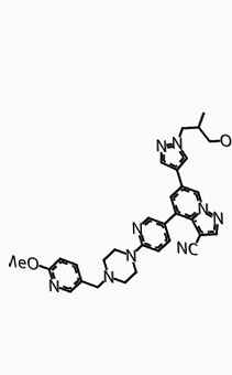 COc1ccc(CN2CCN(c3ccc(-c4cc(-c5cnn(CC(C)CO)c5)cn5ncc(C#N)c45)cn3)CC2)cn1